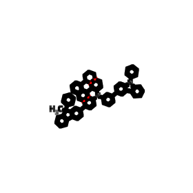 CC1(c2ccccc2)c2ccccc2-c2ccc(-c3ccc(N(c4cccc(-c5ccc6c(c5)c5ccccc5n6-c5ccccc5)c4)c4ccccc4-c4cccc5cccc(C6CCCCC6)c45)cc3)cc21